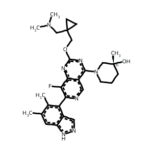 Cc1cc2[nH]ncc2c(-c2ncc3c(N4CCC[C@@](C)(O)C4)nc(OCC4(CN(C)C)CC4)nc3c2F)c1C